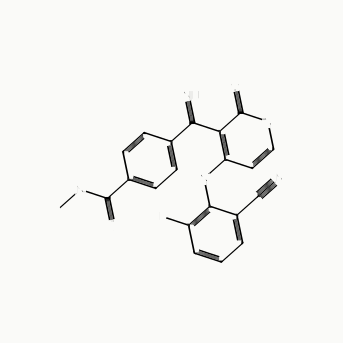 CNC(=O)c1ccc(C(=N)c2c(Nc3c(F)cccc3C#N)cc[nH]c2=O)cc1